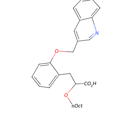 CCCCCCCCOC(Cc1ccccc1OCc1cnc2ccccc2c1)C(=O)O